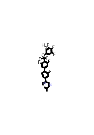 C=C(C)/C=C\C(=C/C)c1ccc(-c2cc(F)c(C(F)(F)Oc3cc(F)c(F)c(P)c3)c(F)c2)c(F)c1